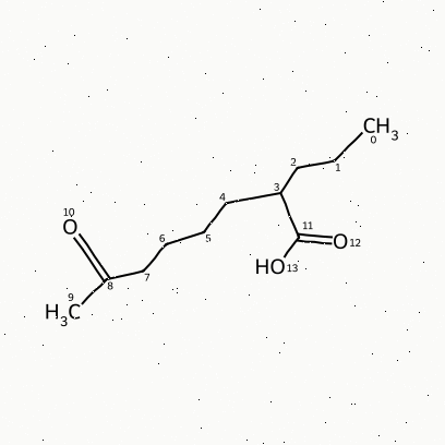 CCCC(CCCCC(C)=O)C(=O)O